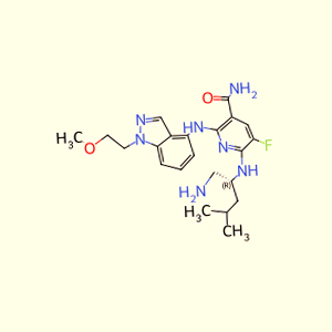 COCCn1ncc2c(Nc3nc(N[C@@H](CN)CC(C)C)c(F)cc3C(N)=O)cccc21